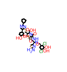 Nc1nc(C(=NOCc2cc(Cl)c(O)c(O)c2Cl)C(=O)N[C@@H]2C(=O)N3C(C(=O)O)=C(CSc4nc(-c5ccccc5)ncc4-c4ccc(O)c(O)c4)CS[C@H]23)cs1